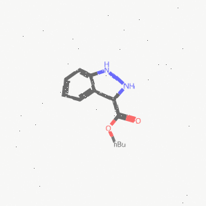 CCCCOC(=O)C1NNc2ccccc21